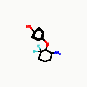 NC1CCCC(F)(F)C1Oc1ccc(O)cc1